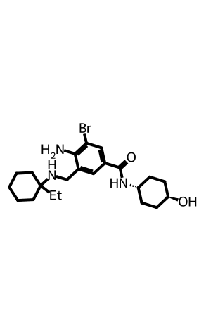 CCC1(NCc2cc(C(=O)N[C@H]3CC[C@H](O)CC3)cc(Br)c2N)CCCCC1